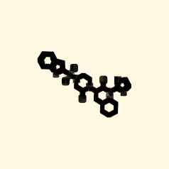 O=C(Nc1nccs1)C(CC1CCCCC1)N1CCN(S(=O)(=O)c2cc3ccccc3s2)CC1=O